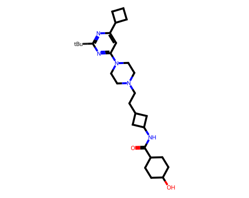 CC(C)(C)c1nc(C2CCC2)cc(N2CCN(CCC3CC(NC(=O)C4CCC(O)CC4)C3)CC2)n1